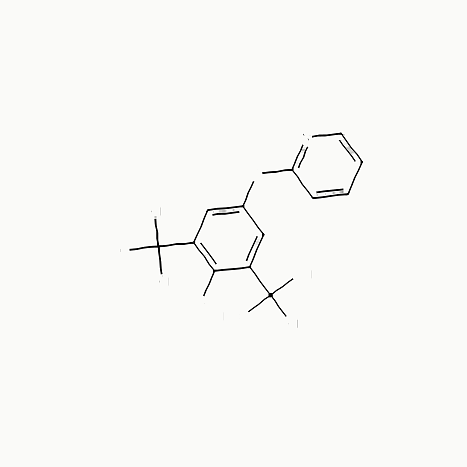 CC(C)(C)c1cc(Sc2ccc[c]n2)cc(C(C)(C)C)c1O